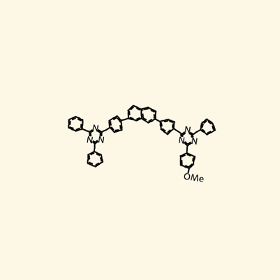 COc1ccc(-c2nc(-c3ccccc3)nc(-c3ccc(-c4ccc5ccc(-c6ccc(-c7nc(-c8ccccc8)nc(-c8ccccc8)n7)cc6)cc5c4)cc3)n2)cc1